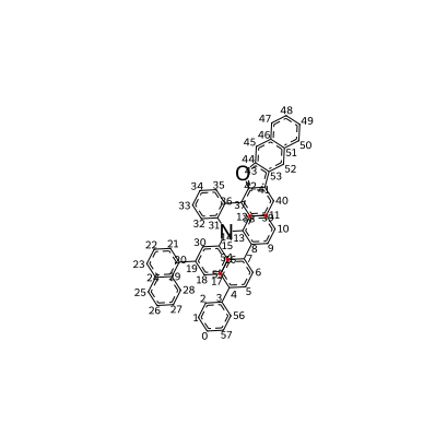 c1ccc(-c2ccc(-c3ccccc3N(c3cccc(-c4cccc5ccccc45)c3)c3ccccc3-c3cccc4c3oc3cc5ccccc5cc34)cc2)cc1